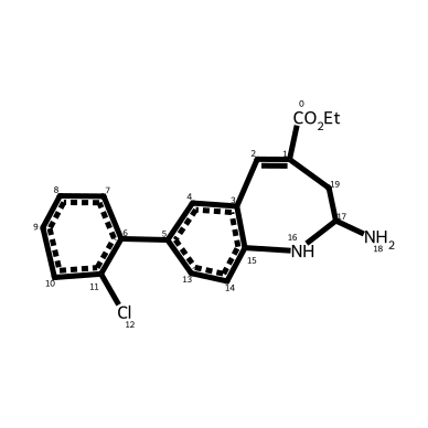 CCOC(=O)C1=Cc2cc(-c3ccccc3Cl)ccc2NC(N)C1